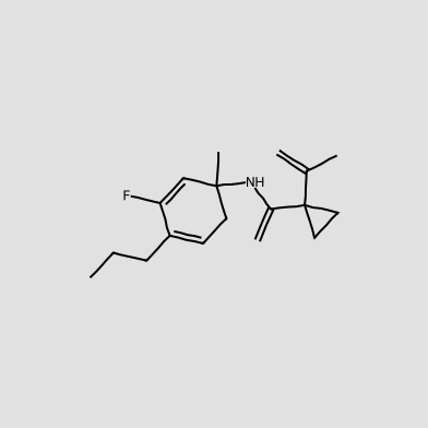 C=C(C)C1(C(=C)NC2(C)C=C(F)C(CCC)=CC2)CC1